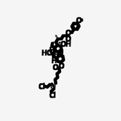 COc1ccc(COC(=O)CC[C@@H](C)[C@H]2CC[C@H]3[C@@H]4[C@H](O)C[C@@H]5C[C@H](OC(=O)CCCCCN(CCCl)CCCl)CC[C@]5(C)[C@H]4C[C@H](O)[C@]23C)cc1